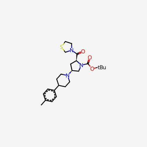 Cc1ccc(C2CCN([C@H]3C[C@@H](C(=O)N4CCSC4)N(C(=O)OC(C)(C)C)C3)CC2)cc1